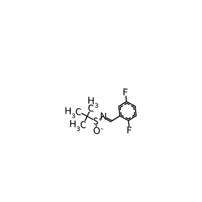 CC(C)(C)[S+]([O-])N=Cc1cc(F)ccc1F